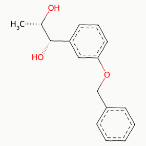 C[C@H](O)[C@@H](O)c1cccc(OCc2ccccc2)c1